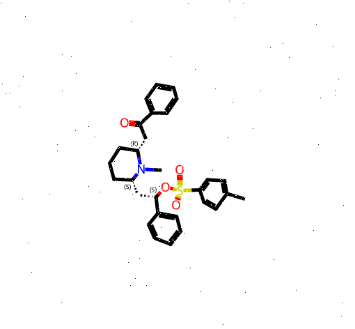 Cc1ccc(S(=O)(=O)O[C@@H](C[C@@H]2CCC[C@H](CC(=O)c3ccccc3)N2C)c2ccccc2)cc1